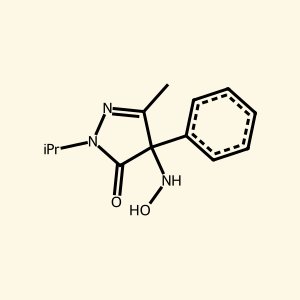 CC1=NN(C(C)C)C(=O)C1(NO)c1ccccc1